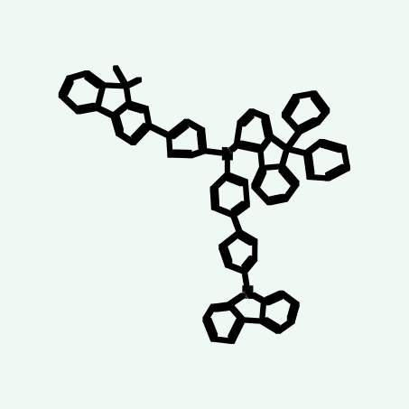 CC1(C)c2ccccc2-c2ccc(-c3ccc(N(c4ccc(-c5ccc(-n6c7ccccc7c7ccccc76)cc5)cc4)c4cccc5c4-c4ccccc4C5(c4ccccc4)c4ccccc4)cc3)cc21